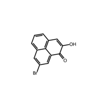 O=C1C(O)=Cc2cccc3cc(Br)cc1c23